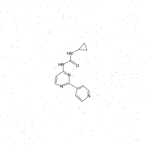 O=C(Nc1ccnc(-c2ccncc2)n1)NC1CC1